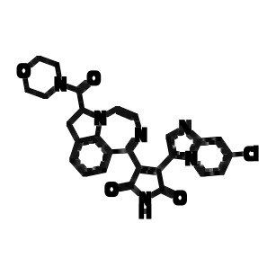 O=C1NC(=O)C(c2cnc3cc(Cl)ccn23)=C1C1=NC=CN2c3c(cccc31)CC2C(=O)N1CCOCC1